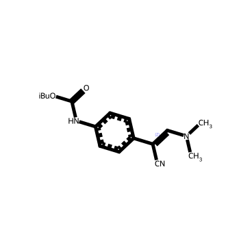 CC(C)COC(=O)Nc1ccc(/C(C#N)=C/N(C)C)cc1